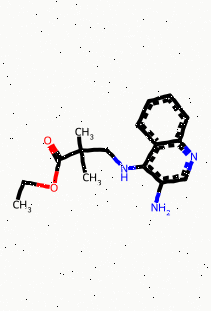 CCOC(=O)C(C)(C)CNc1c(N)cnc2ccccc12